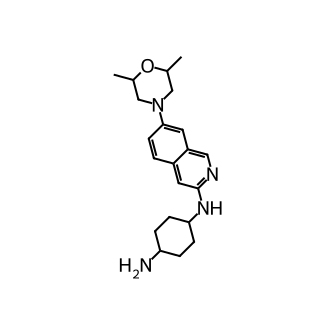 CC1CN(c2ccc3cc(NC4CCC(N)CC4)ncc3c2)CC(C)O1